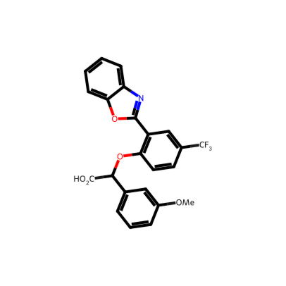 COc1cccc(C(Oc2ccc(C(F)(F)F)cc2-c2nc3ccccc3o2)C(=O)O)c1